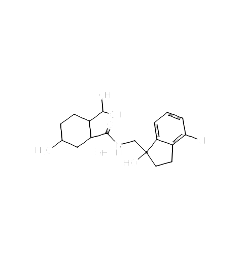 CC1CCC(C(C)C)[C@@](O)(C(=O)NCC2(O)CCc3c(Cl)cccc32)C1